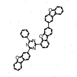 c1ccc(-c2nc(-c3ccc4c(c3)oc3ccccc34)nc(-c3cccc4c3oc3cc(-c5ccc6oc7ccccc7c6c5)ccc34)n2)cc1